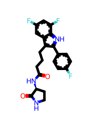 O=C(CCCc1c(-c2ccc(F)cc2)[nH]c2c(F)cc(F)cc12)N[C@H]1CCNC1=O